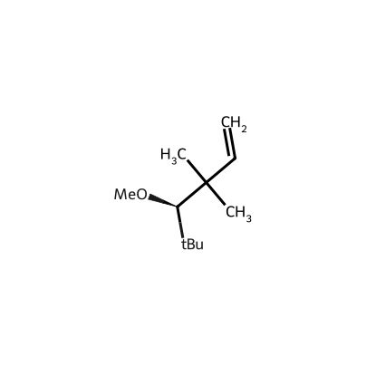 C=CC(C)(C)[C@H](OC)C(C)(C)C